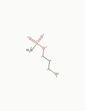 O=S(=O)([SiH3])OCCCS